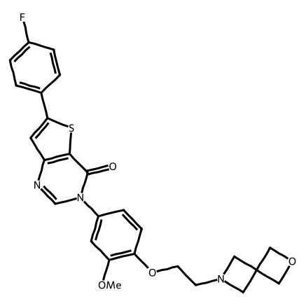 COc1cc(-n2cnc3cc(-c4ccc(F)cc4)sc3c2=O)ccc1OCCN1CC2(COC2)C1